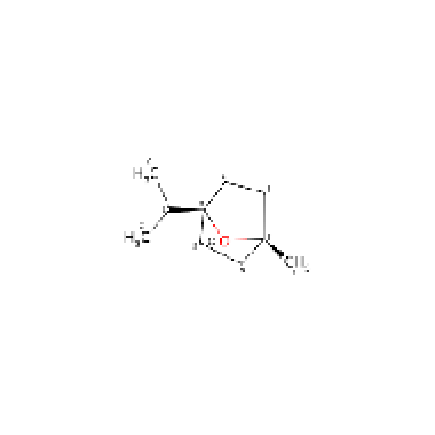 CC(C)[C@]12CC[C@](C)(CC1)O2